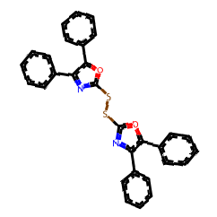 c1ccc(-c2nc(SSc3nc(-c4ccccc4)c(-c4ccccc4)o3)oc2-c2ccccc2)cc1